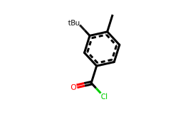 Cc1ccc(C(=O)Cl)cc1C(C)(C)C